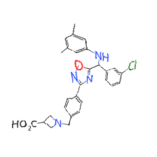 Cc1cc(C)cc(NC(c2cccc(Cl)c2)c2nc(-c3ccc(CN4CC(C(=O)O)C4)cc3)no2)c1